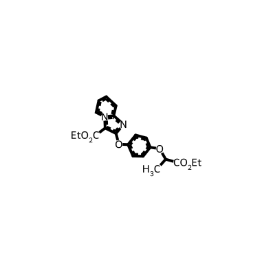 CCOC(=O)c1c(Oc2ccc(OC(C)C(=O)OCC)cc2)nc2ccccn12